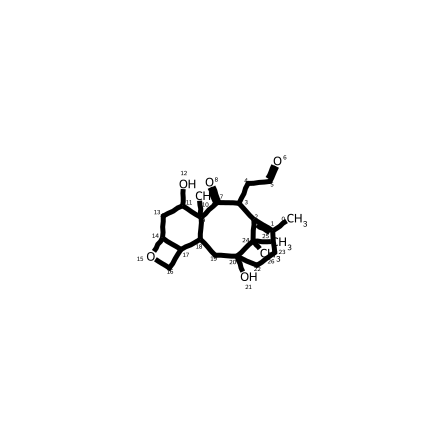 CC1=C2C(CC=O)C(=O)C3(C)C(O)CC4OCC4C3CC(O)(CC1)C2(C)C